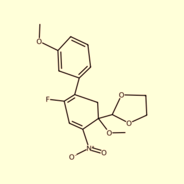 COc1cccc(C2=C(F)C=C([N+](=O)[O-])C(OC)(C3OCCO3)C2)c1